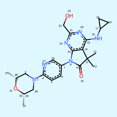 C[C@@H]1CN(c2ccc(N3C(=O)C(C)(C)c4c(NC5CC5)nc(CO)nc43)cn2)C[C@H](C)O1